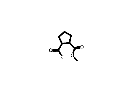 COC(=O)C1CCCC1C(=O)Cl